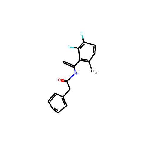 C=C(NC(=O)Cc1ccccc1)c1c(C(F)(F)F)ccc(F)c1F